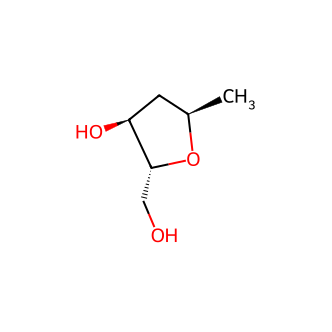 C[C@@H]1C[C@H](O)[C@@H](CO)O1